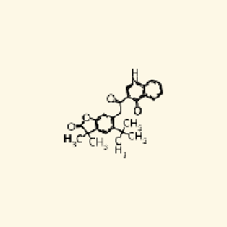 CC(C)(C)c1cc2c(cc1CC(=O)c1c[nH]c3ccccc3c1=O)OC(=O)C2(C)C